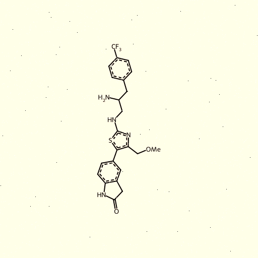 COCc1nc(NCC(N)Cc2ccc(C(F)(F)F)cc2)sc1-c1ccc2c(c1)CC(=O)N2